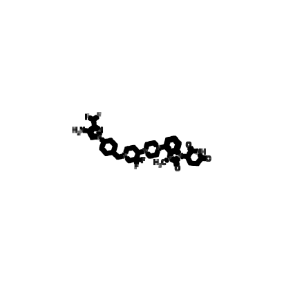 Cn1c(=O)n(C2CCC(=O)NC2=O)c2cccc(N3CCN(C4CCN(CC5CCC(n6cc(N)c(C(F)F)n6)CC5)CC4(F)F)CC3)c21